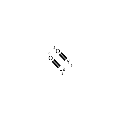 [O]=[La].[O]=[Y]